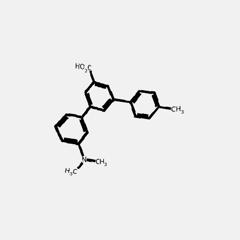 Cc1ccc(-c2cc(C(=O)O)cc(-c3cccc(N(C)C)c3)c2)cc1